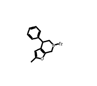 CCN1Cc2oc(C)cc2C(c2ccccc2)C1